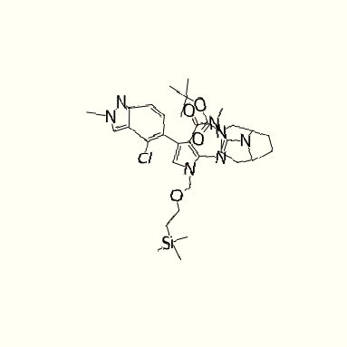 Cn1cc2c(Cl)c(-c3cn(COCC[Si](C)(C)C)c4nc(N5C6CCC5CN(C(=O)OC(C)(C)C)CC6)n(C)c(=O)c34)ccc2n1